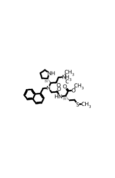 COC(=O)[C@H](CCSC)NC(=O)CN(Cc1cccc2ccccc12)C(C(=O)CN(C)C)[C@@H]1CCCN1